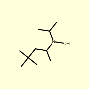 CC(C)N(O)C(C)CC(C)(C)C